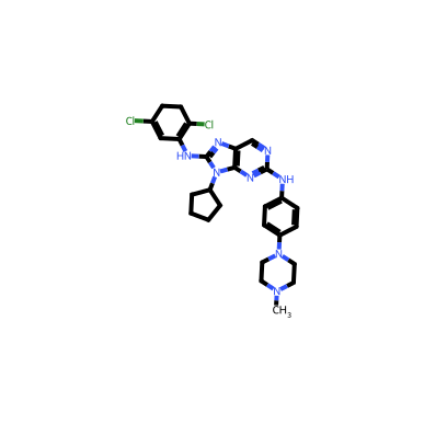 CN1CCN(c2ccc(Nc3ncc4nc(NC5=C(Cl)CCC(Cl)=C5)n(C5CCCC5)c4n3)cc2)CC1